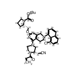 C=CC(=O)N1CCN(c2nc(OC[C@@H]3CCCN3C(=O)OC(C)(C)C)nc3c2CCN(c2cccc4cccc(Cl)c24)C3)C[C@@H]1CC#N